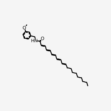 CCCCCCCCCC=CC=CC=CC=CC=CC(=O)NCc1cccc(OC)c1